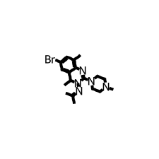 CC(C)=NN1C(N2CCN(C)CC2)=Nc2c(C)cc(Br)cc2C1C